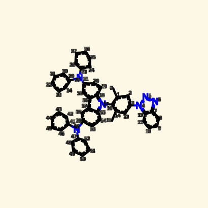 Cc1cc(-n2nnc3ccccc32)cc(C)c1-n1c2ccc(N(c3ccccc3)c3ccccc3)cc2c2cc(N(c3ccccc3)c3ccccc3)ccc21